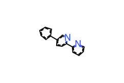 c1ccc(-c2ccc(-c3ccccn3)nc2)cc1